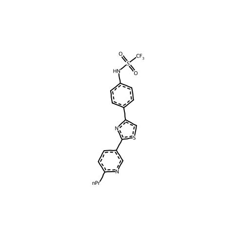 CCCc1ccc(-c2nc(-c3ccc(NS(=O)(=O)C(F)(F)F)cc3)cs2)cn1